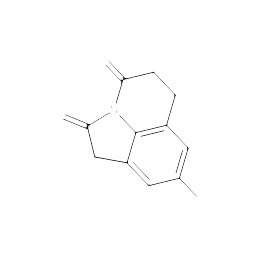 O=C1CCc2cc(F)cc3c2N1C(=O)C3